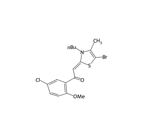 CCCCN1C(C)=C(Br)S/C1=C\C(=O)c1cc(Cl)ccc1OC